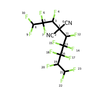 N#CC(C#N)(C(F)C(F)(F)C(F)F)C(F)C(F)(F)C(F)(F)C(F)C(F)F